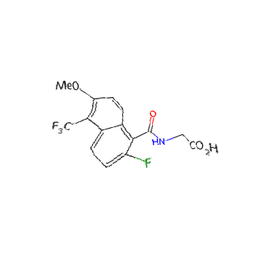 COc1ccc2c(C(=O)NCC(=O)O)c(F)ccc2c1C(F)(F)F